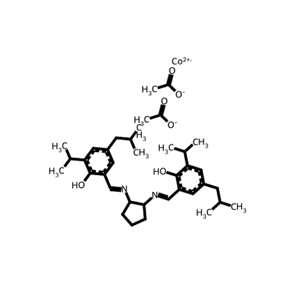 CC(=O)[O-].CC(=O)[O-].CC(C)Cc1cc(C=NC2CCCC2N=Cc2cc(CC(C)C)cc(C(C)C)c2O)c(O)c(C(C)C)c1.[Co+2]